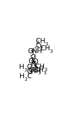 C=CC(=O)NC1C(C)(C)CN(S(=O)(=O)c2ccc(C(=O)NCc3cc(C)cc(C)c3)cc2)CC1(C)C